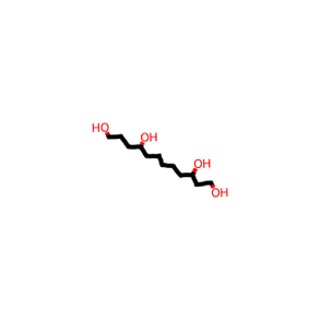 OCCCC(O)CCCCCC(O)CCO